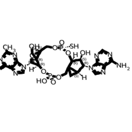 Cc1nc2c(ncn2[C@@H]2O[C@@H]3CO[P@](=O)(S)O[C@H]4[C@@H](O)[C@H](n5cnc6c(N)ncnc65)[C@H]5CC54COP(=O)(O)O[C@@H]2[C@@H]3CO)c(=O)[nH]1